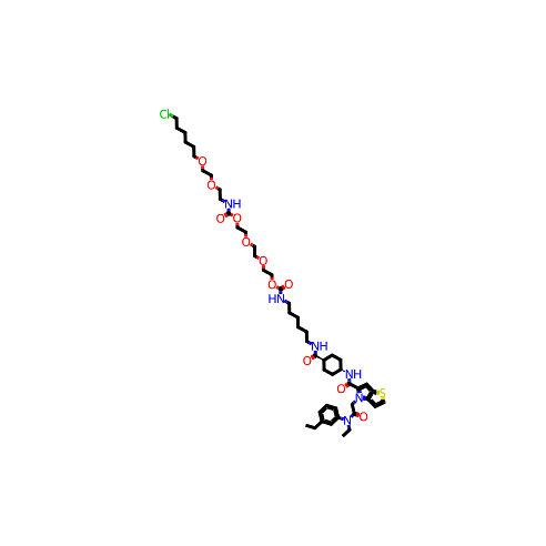 CCc1cccc(N(CC)C(=O)Cn2c(C(=O)N[C@H]3CC[C@H](C(=O)NCCCCCCNC(=O)OCCOCCOCCOC(=O)NCCOCCOCCCCCCCl)CC3)cc3sccc32)c1